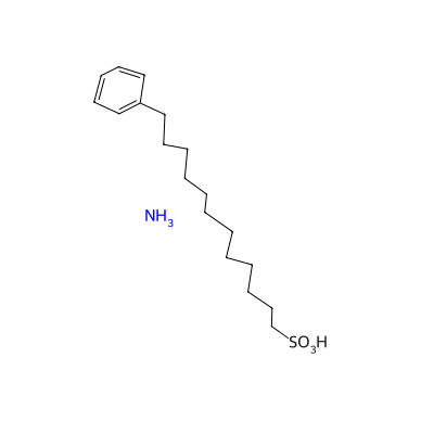 N.O=S(=O)(O)CCCCCCCCCCCCc1ccccc1